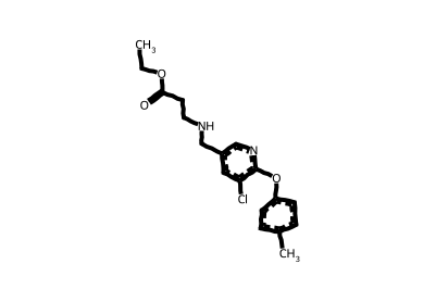 CCOC(=O)CCNCc1cnc(Oc2ccc(C)cc2)c(Cl)c1